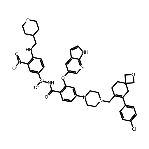 O=C(N[S+]([O-])c1ccc(NCC2CCOCC2)c([N+](=O)[O-])c1)c1ccc(N2CCN(CC3=C(c4ccc(Cl)cc4)CC4(CC3)COC4)CC2)cc1Oc1cnc2[nH]ccc2c1